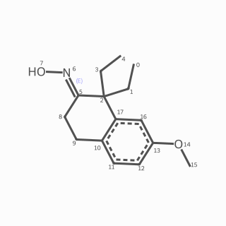 CCC1(CC)/C(=N/O)CCc2ccc(OC)cc21